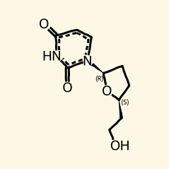 O=c1ccn([C@H]2CC[C@@H](CCO)O2)c(=O)[nH]1